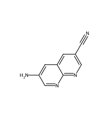 N#Cc1cnc2ncc(N)cc2c1